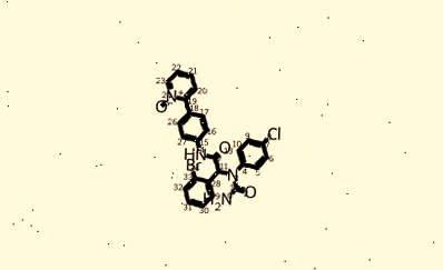 NC(=O)N(c1ccc(Cl)cc1)C(C(=O)Nc1ccc(-c2cccc[n+]2[O-])cc1)c1ccccc1Br